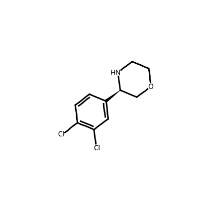 Clc1ccc([C@@H]2COCCN2)cc1Cl